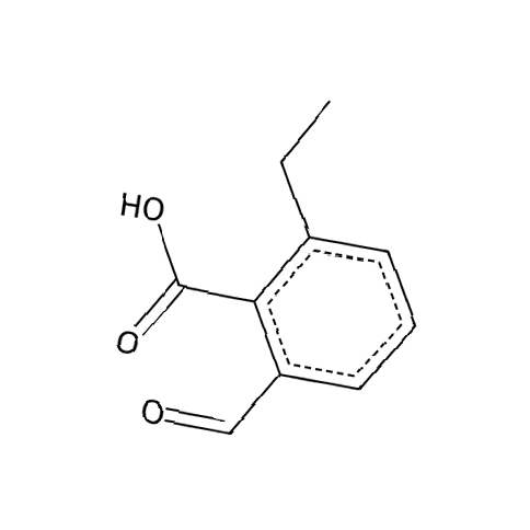 CCc1cccc(C=O)c1C(=O)O